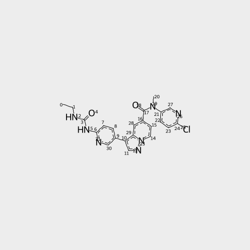 CCNC(=O)Nc1ccc(-c2cnn3ccc(C(=O)N(C)c4ccc(Cl)nc4)cc23)cn1